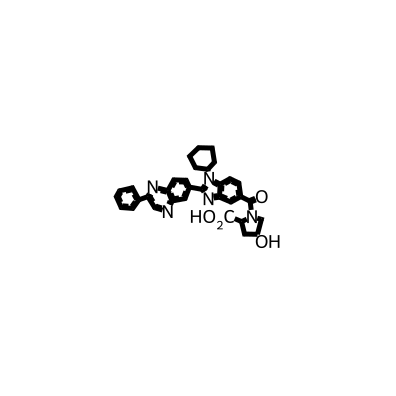 O=C(O)C1CC(O)CN1C(=O)c1ccc2c(c1)nc(-c1ccc3nc(-c4ccccc4)cnc3c1)n2C1CCCCC1